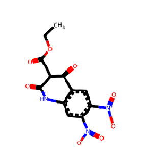 CCOC(=O)C1C(=O)Nc2cc([N+](=O)[O-])c([N+](=O)[O-])cc2C1=O